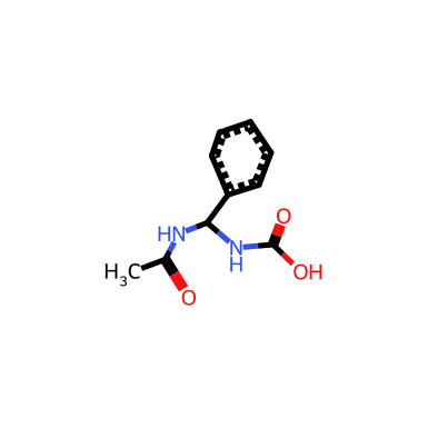 CC(=O)NC(NC(=O)O)c1ccccc1